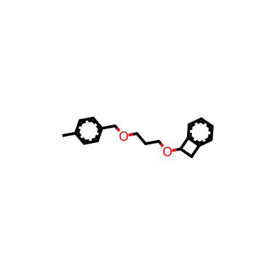 Cc1ccc(COCCCOC2Cc3ccccc32)cc1